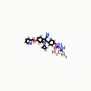 CC(C)NC(=O)Nc1ccc(-c2c(C#N)c3ccc(OCc4ccccn4)cc3n2C2CCC2)cc1